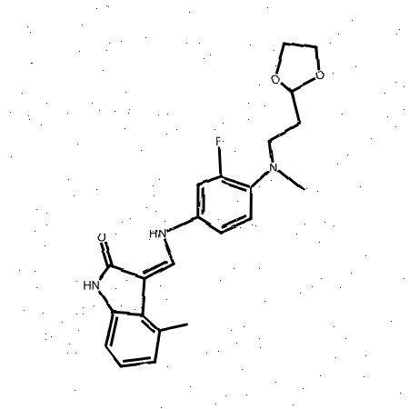 Cc1cccc2c1C(=CNc1ccc(N(C)CCC3OCCO3)c(F)c1)C(=O)N2